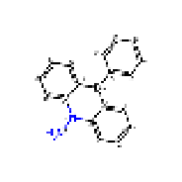 NN1c2ccccc2B(c2ccccc2)c2ccccc21